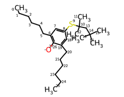 CCCCCCc1cc(SC(C)(C)CC(C)(C)C)cc(CCCCCC)c1[O]